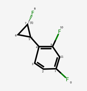 Fc1ccc([C]2C[C@@H]2F)c(F)c1